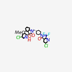 COc1cccc2c1C(O)(c1ccc(Cl)cn1)C(=O)N2C[C@H]1CC[C@H](NC(=O)c2cc(Cl)cnc2C(F)F)CC1